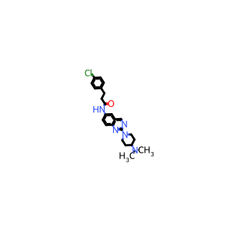 CN(C)C1CCN(c2ncc3cc(NC(=O)CCc4ccc(Cl)cc4)ccc3n2)CC1